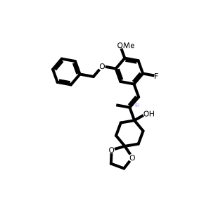 COc1cc(F)c(/C=C(\C)C2(O)CCC3(CC2)OCCO3)cc1OCc1ccccc1